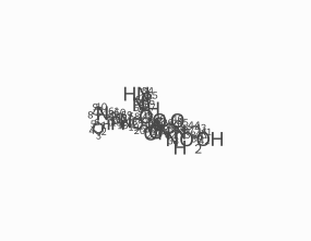 CC(C)c1ccccc1[C@H]1CCCN1C1CC2(CCN(c3ccc(C(=O)NS(=O)(=O)c4cc5c(c([N+](=O)[O-])n4)N[C@@H]([C@H]4CC[C@](C)(O)CC4)CO5)c(Oc4cnc5[nH]ccc5c4)c3)CC2)C1